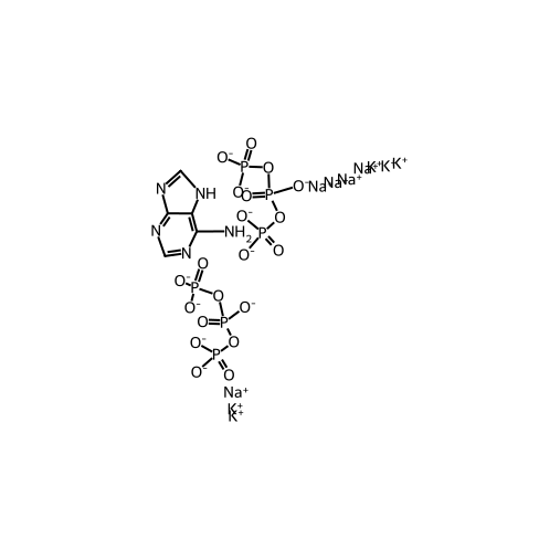 Nc1ncnc2nc[nH]c12.O=P([O-])([O-])OP(=O)([O-])OP(=O)([O-])[O-].O=P([O-])([O-])OP(=O)([O-])OP(=O)([O-])[O-].[K+].[K+].[K+].[K+].[K+].[Na+].[Na+].[Na+].[Na+].[Na+]